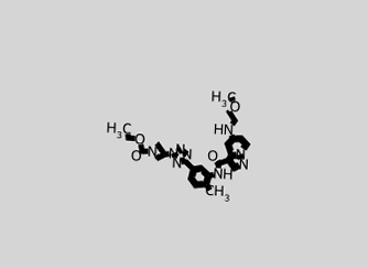 CCOC(=O)N1CC(n2nnc(-c3ccc(C)c(NC(=O)c4cnn5ccc(NCCOC)cc45)c3)n2)C1